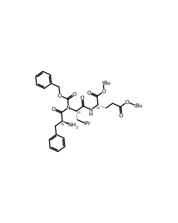 CC(C)C[C@@H](C(=O)N[C@@H](CCC(=O)OC(C)(C)C)C(=O)OC(C)(C)C)N(C(=O)OCc1ccccc1)C(=O)[C@@H](N)Cc1ccccc1